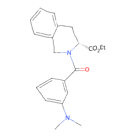 CCOC(=O)[C@H]1Cc2ccccc2CN1C(=O)c1cccc(N(C)C)c1